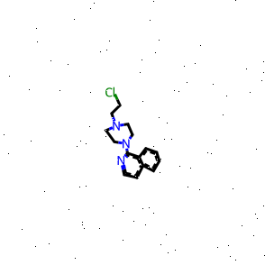 ClCCN1CCN(c2nccc3ccccc23)CC1